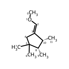 COC=C1CC(C)(C)[C@@H](C)[C@H]1C